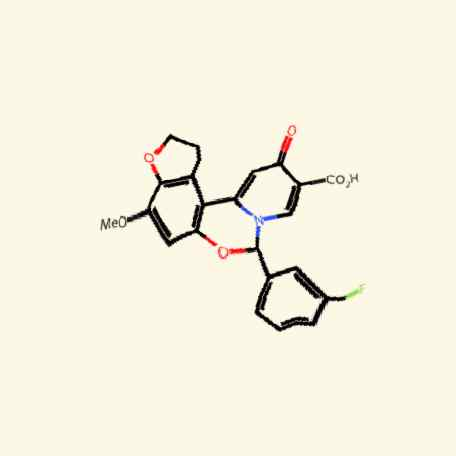 COc1cc2c(c3c1OCC3)-c1cc(=O)c(C(=O)O)cn1C(c1cccc(F)c1)O2